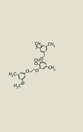 COc1cc(C)cc(OCCOc2cc(C)cc(OCc3cc(C)cc(SC)c3)c2OC)c1